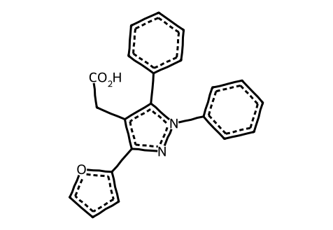 O=C(O)Cc1c(-c2ccco2)nn(-c2ccccc2)c1-c1ccccc1